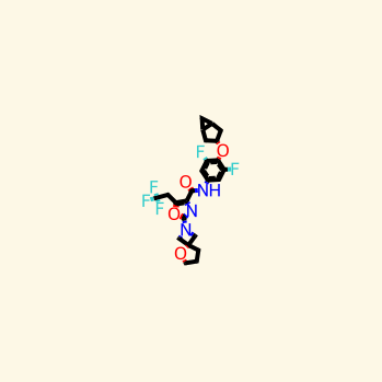 O=C(Nc1cc(F)c(OC2CC3CC3C2)c(F)c1)c1nc(N2CC3(CCCO3)C2)oc1CC(F)(F)F